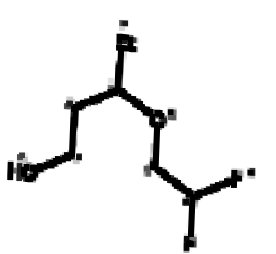 CCC(CCO)OCC(F)F